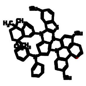 CC(C)(C)c1ccc2c(c1)B1c3sc4ccc(C(C)(C)C)cc4c3N(c3ccc4c(c3)C(C)(C)CCC4(C)C)c3cc(N(c4ccccc4)c4ccccc4)cc(c31)N2c1ccc(C(C)(C)C)cc1C12CCC(CC1)CC2